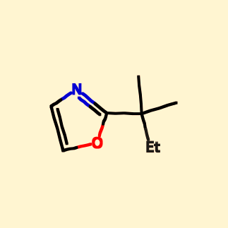 CCC(C)(C)c1ncco1